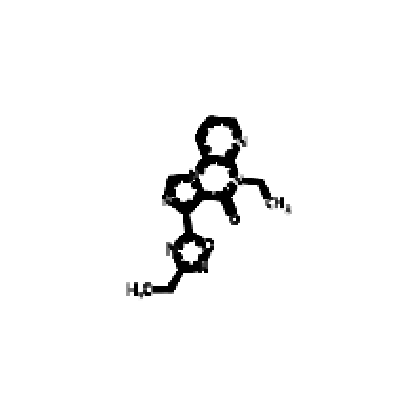 CCc1noc(-c2ncn3c2c(=O)n(CC)c2ncccc23)n1